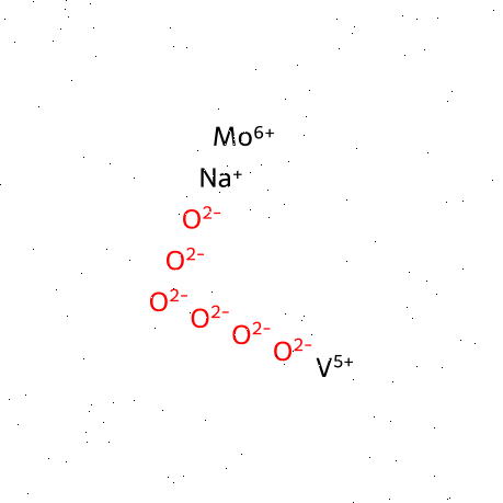 [Mo+6].[Na+].[O-2].[O-2].[O-2].[O-2].[O-2].[O-2].[V+5]